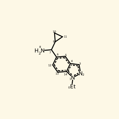 CCn1ncc2cc(C(N)C3CC3)ccc21